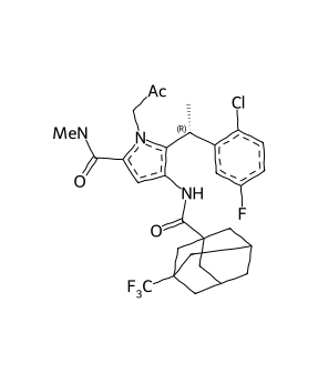 CNC(=O)c1cc(NC(=O)C23CC4CC(C2)CC(C(F)(F)F)(C4)C3)c([C@H](C)c2cc(F)ccc2Cl)n1CC(C)=O